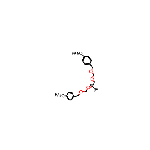 COc1ccc(COCOC[C@H](OCOCc2ccc(OC)cc2)C(C)C)cc1